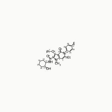 CCc1cc2c(c(OC(C)C)c(C(=O)NC3CCCCC3O)n2C)c(=O)n1-c1ccc(F)cc1